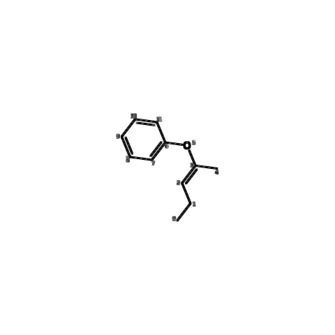 CCC=C(C)Oc1c[c]ccc1